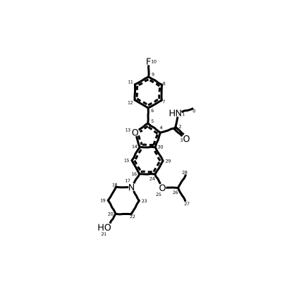 CNC(=O)c1c(-c2ccc(F)cc2)oc2cc(N3CCC(O)CC3)c(OC(C)C)cc12